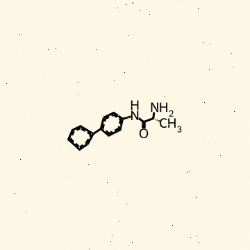 C[C@@H](N)C(=O)Nc1ccc(-c2ccccc2)cc1